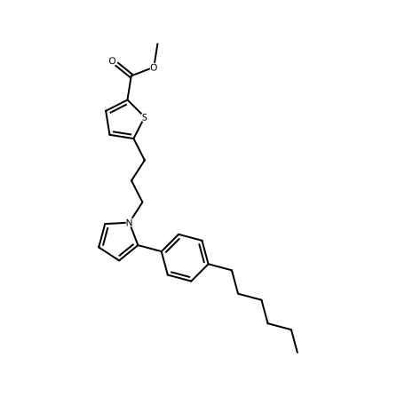 CCCCCCc1ccc(-c2cccn2CCCc2ccc(C(=O)OC)s2)cc1